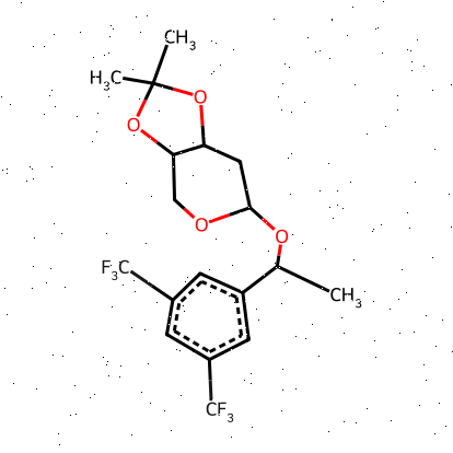 CC(OC1CC2OC(C)(C)OC2CO1)c1cc(C(F)(F)F)cc(C(F)(F)F)c1